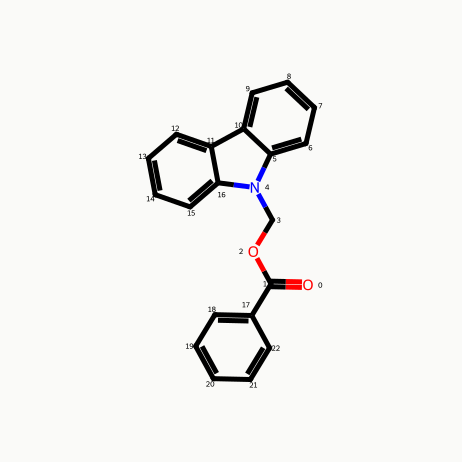 O=C(OCn1c2ccccc2c2ccccc21)c1ccccc1